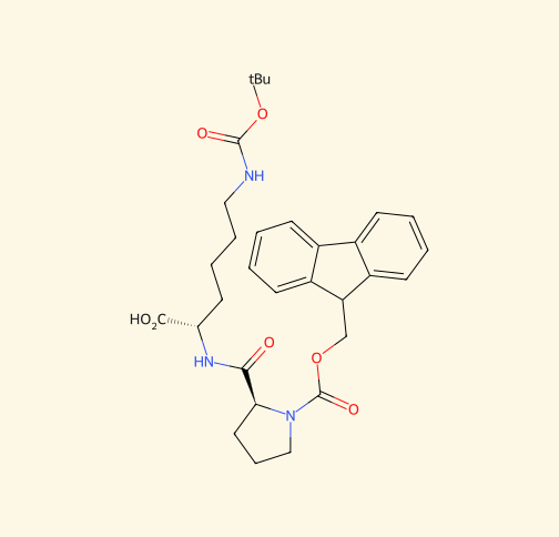 CC(C)(C)OC(=O)NCCCC[C@H](NC(=O)[C@@H]1CCCN1C(=O)OCC1c2ccccc2-c2ccccc21)C(=O)O